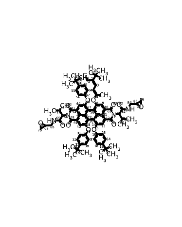 C=C/C(=C\C=C(/C)Oc1cc2c3c(cc(Oc4ccc(C(C)(C)C)cc4)c4c5c(Oc6ccc(C(C)(C)C)cc6)cc6c7c(cc(Oc8ccc(C(C)(C)C)cc8)c(c1c34)c75)C(=O)N(C(C(=O)NCC1CO1)C(C)C)C6=O)C(=O)N(C(C(=O)NCC1CO1)C(C)C)C2=O)C(C)(C)C